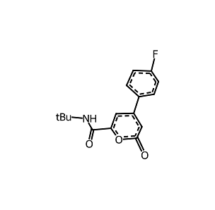 CC(C)(C)NC(=O)c1cc(-c2ccc(F)cc2)cc(=O)o1